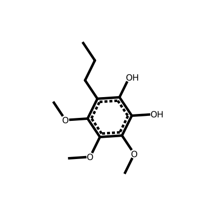 CCCc1c(O)c(O)c(OC)c(OC)c1OC